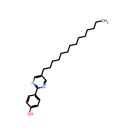 CCCCCCCCCCCCCCc1cnc(-c2ccc(O)cc2)nc1